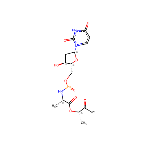 CC(C)C(=O)[C@H](C)OC(=O)[C@H](C)N[PH](=O)OC[C@H]1O[C@@H](n2ccc(=O)[nH]c2=O)C[C@@H]1O